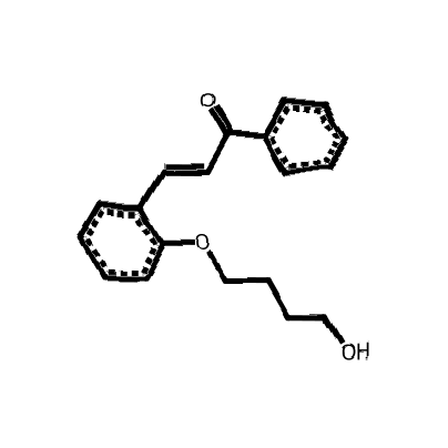 O=C(/C=C/c1ccccc1OCCCCO)c1ccccc1